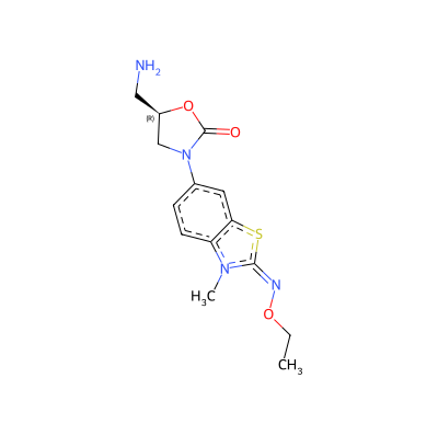 CCON=c1sc2cc(N3C[C@@H](CN)OC3=O)ccc2n1C